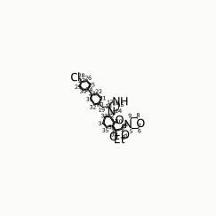 CCOc1c(N2CCOCC2)oc2c(N3CCNCC3Cc3ccc(-c4ccc(Cl)cc4)cc3)cccc2c1=O